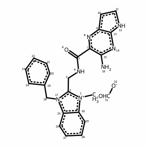 C[n+]1c(CNC(=O)c2nc3cc[nH]c3nc2N)n(Cc2ccccc2)c2ccccc21.O=C[O-]